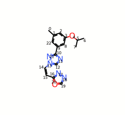 Cc1cc(OC(C)C)cc(-c2ncn(/C=C\c3nnco3)n2)c1